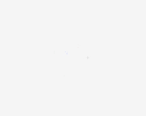 O=CC(Br)c1cc(Cl)cc(Cl)n1